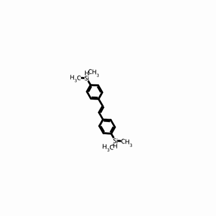 C[SiH](C)c1ccc(C=Cc2ccc([SiH](C)C)cc2)cc1